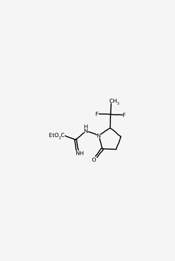 CCOC(=O)C(=N)NN1C(=O)CCC1C(C)(F)F